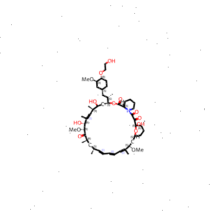 CO[C@H]1C[C@@H]2CC[C@@H](C)[C@@](O)(O2)C(=O)C(=O)N2CCCC[C@H]2C(=O)O[C@H]([C@@H](C)C[C@@H]2CC[C@@H](OCCO)[C@H](OC)C2)CC(O)[C@H](C)/C=C(\C)[C@@H](O)[C@@H](OC)C(=O)[C@H](C)C[C@H](C)/C=C/C=C/C=C/1C